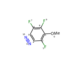 COc1c(F)ccc(F)c1F.N#N